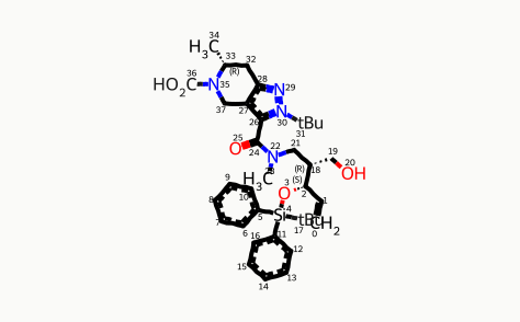 C=C[C@H](O[Si](c1ccccc1)(c1ccccc1)C(C)(C)C)[C@@H](CO)CN(C)C(=O)c1c2c(nn1C(C)(C)C)C[C@@H](C)N(C(=O)O)C2